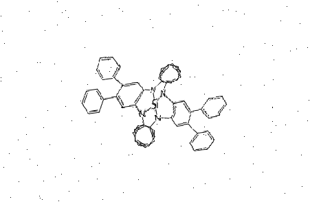 c1ccc(-c2cc3c(cc2-c2ccccc2)N(c2ccccc2)[Si]2(N3c3ccccc3)N(c3ccccc3)c3cc(-c4ccccc4)c(-c4ccccc4)cc3N2c2ccccc2)cc1